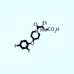 CC[C@H](NC(=O)O)C(=O)N1CCC(Oc2ccc(F)cc2F)CC1